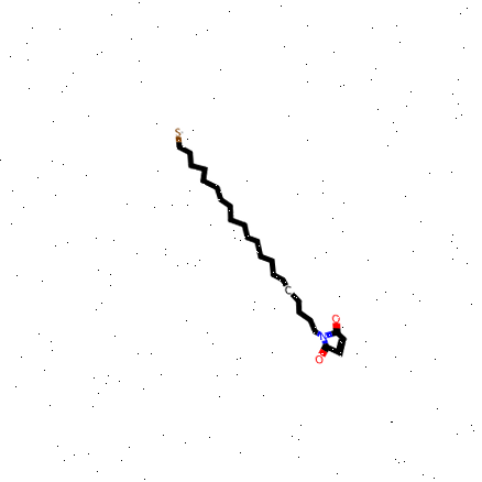 O=C1C=CC(=O)N1CCCCCCCCCCCCCCCCCCCCC[S]